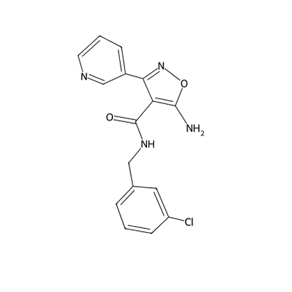 Nc1onc(-c2cccnc2)c1C(=O)NCc1cccc(Cl)c1